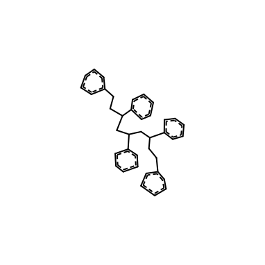 c1ccc(CCC(CC(CC(CCc2ccccc2)c2ccccc2)c2ccccc2)c2ccccc2)cc1